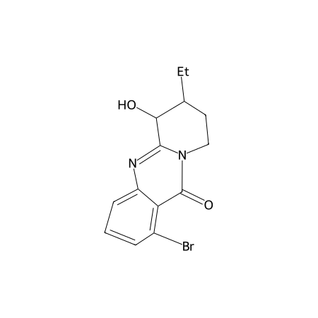 CCC1CCn2c(nc3cccc(Br)c3c2=O)C1O